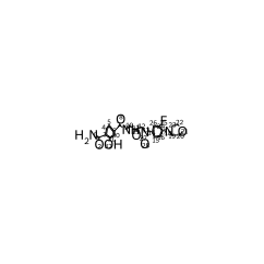 NC(=O)c1ccc(C(=O)NC[C@H]2CN(c3ccc(N4CCOCC4)c(F)c3)C(=O)O2)cc1O